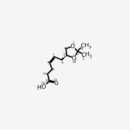 CC1(C)OC[C@H](C/C=C\CCC(=O)O)O1